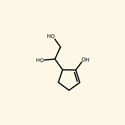 OCC(O)C1CCC=C1O